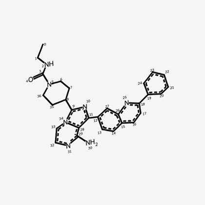 CCNC(=O)N1CCC(c2nc(-c3ccc4ccc(-c5ccccc5)nc4c3)c3c(N)nccn23)CC1